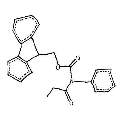 CCC(=O)N(C(=O)OCC1c2ccccc2-c2ccccc21)c1ccccc1